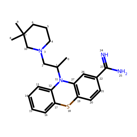 CC(CN1CCCC(C)(C)C1)N1c2ccccc2Sc2ccc(C(=N)N)cc21